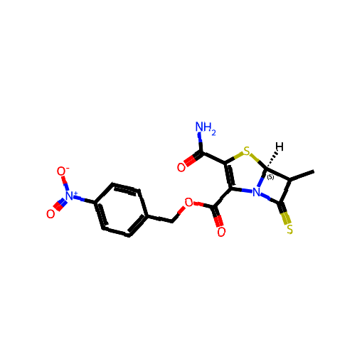 CC1C(=S)N2C(C(=O)OCc3ccc([N+](=O)[O-])cc3)=C(C(N)=O)S[C@@H]12